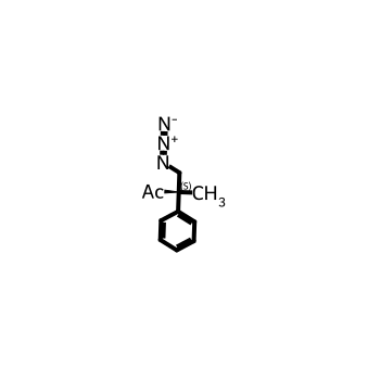 CC(=O)[C@](C)(CN=[N+]=[N-])c1ccccc1